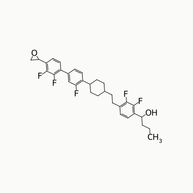 CCCC(O)c1ccc(CCC2CCC(c3ccc(-c4ccc(C5CO5)c(F)c4F)cc3F)CC2)c(F)c1F